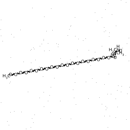 COCCOCCOCCOCCOCCOCCOCCOCCOCCOCCOCCOCCOCCOCCOCCOCCOCCOCCOCCOCCS(=O)(=O)CCC(C)(C)NCl